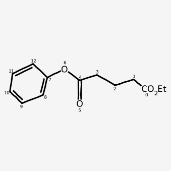 CCOC(=O)CCCC(=O)Oc1ccccc1